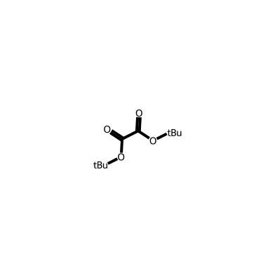 CC(C)(C)OC(=O)C(=O)OC(C)(C)C